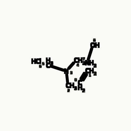 C=C.CN(C)C.Cl.NO